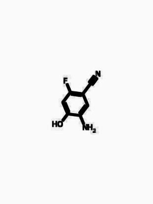 N#Cc1cc(N)c(O)cc1F